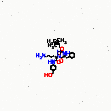 C[Si](C)(C)CCOC(=O)N[C@@H](Cc1ccccc1)C(=O)N[C@@H](CCCCN)C(=O)Nc1ccc(CO)cc1